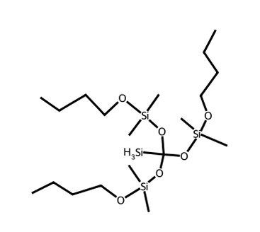 CCCCO[Si](C)(C)OC([SiH3])(O[Si](C)(C)OCCCC)O[Si](C)(C)OCCCC